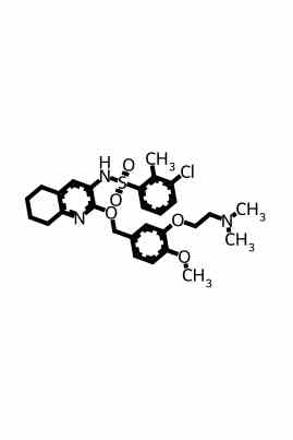 COc1ccc(COc2nc3c(cc2NS(=O)(=O)c2cccc(Cl)c2C)CCCC3)cc1OCCN(C)C